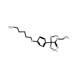 CCCCCCOc1ccc(C(OC)(OC)C(=O)OCC)cc1